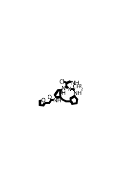 C=C1/N=C(\C(Cl)=C/N)Nc2ccc(NC(=O)Cc3ccco3)c(c2)CCC2=CCCC(=C2)N1